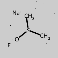 C[S+](C)[O-].[F-].[Na+]